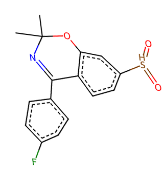 CC1(C)N=C(c2ccc(F)cc2)c2ccc([SH](=O)=O)cc2O1